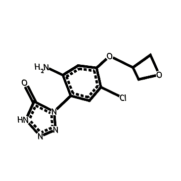 Nc1cc(OC2COC2)c(Cl)cc1-n1nn[nH]c1=O